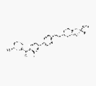 CC(C)(F)CN1CCC(COc2ccc(-c3ccc(C(=O)N4CCCC(O)C4)c(F)c3)cn2)CC1